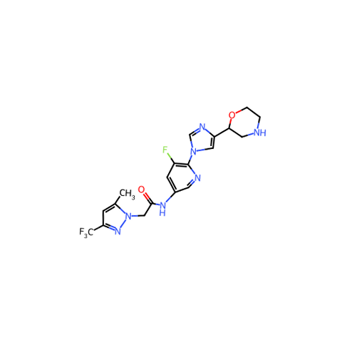 Cc1cc(C(F)(F)F)nn1CC(=O)Nc1cnc(-n2cnc(C3CNCCO3)c2)c(F)c1